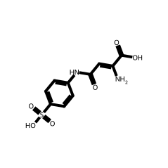 NC(=CC(=O)Nc1ccc(S(=O)(=O)O)cc1)C(=O)O